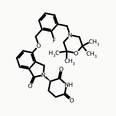 CC1(C)CN(Cc2cccc(COc3cccc4c3CN([C@@H]3CCC(=O)NC3=O)C4=O)c2F)CC(C)(C)O1